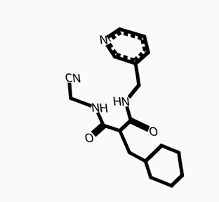 N#CCNC(=O)C(CC1CCCCC1)C(=O)NCc1cccnc1